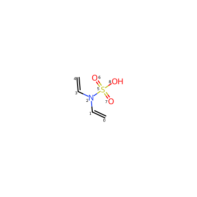 C=CN(C=C)S(=O)(=O)O